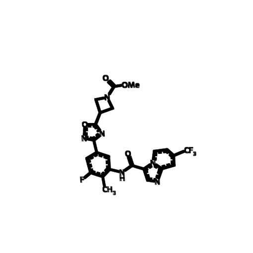 COC(=O)N1CC(c2nc(-c3cc(F)c(C)c(NC(=O)c4cnc5cc(C(F)(F)F)ccn45)c3)no2)C1